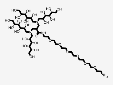 NCCOCCOCCOCCOCCOCCOCCNC(=O)C(CN(C[C@H](O)[C@@H](O)[C@H](O)[C@H](O)CO)C[C@H](O)[C@@H](O)[C@H](O)[C@H](O)CO)CN(C[C@H](O)[C@@H](O)[C@H](O)[C@H](O)CO)C[C@H](O)[C@@H](O)[C@H](O)[C@H](O)CO